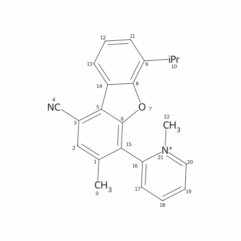 Cc1cc(C#N)c2c(oc3c(C(C)C)cccc32)c1-c1cccc[n+]1C